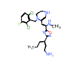 CCCC(CCN)c1noc(/C(=C/C2=CNCCN2Cc2c(Cl)ccc(F)c2Cl)NC)n1